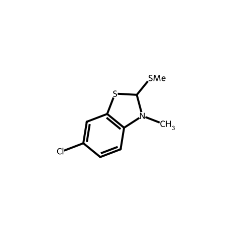 CSC1Sc2cc(Cl)ccc2N1C